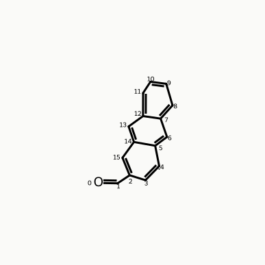 O=Cc1c[c]c2cc3ccccc3cc2c1